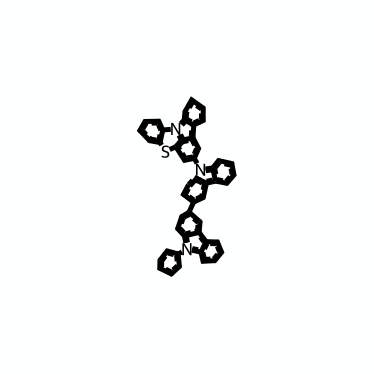 c1ccc(-n2c3ccccc3c3cc(-c4ccc5c(c4)c4ccccc4n5-c4cc5c6c(c4)c4ccccc4n6-c4ccccc4S5)ccc32)cc1